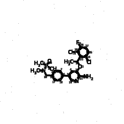 CC(Oc1cc(-c2ccc(CN(C)P(C)(C)=O)cc2)cnc1N)c1c(Cl)ccc(F)c1Cl